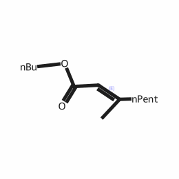 CCCCC/C(C)=C/C(=O)OCCCC